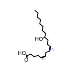 CCCCCCCCC(O)CC/C=C\C/C=C\CCCC(=O)O